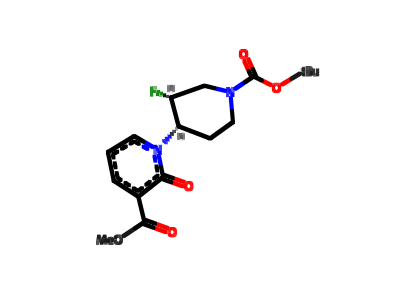 COC(=O)c1cccn([C@H]2CCN(C(=O)OC(C)(C)C)C[C@H]2F)c1=O